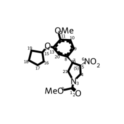 COC(=O)N1C[C@@H]([N+](=O)[O-])[C@H](c2ccc(OC)c(OC3CCCC3)c2)C1